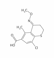 CON=C1CCSc2c(Cl)cc(C(=O)O)c(C)c21